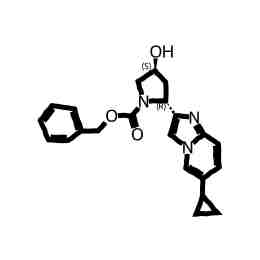 O=C(OCc1ccccc1)N1C[C@@H](O)C[C@@H]1c1cn2cc(C3CC3)ccc2n1